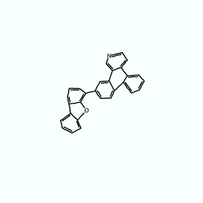 c1ccc2c(c1)oc1c(-c3ccc4c5ccccc5c5ccncc5c4c3)cccc12